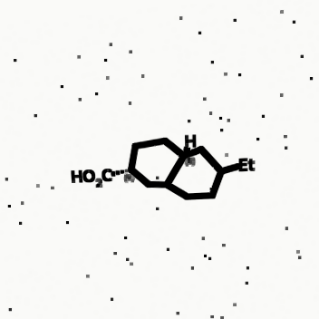 CCC1CCC2C[C@H](C(=O)O)CC[C@@H]2C1